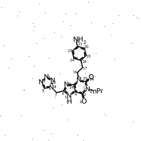 CCCn1c(=O)c2[nH]c(Cn3cnnn3)nc2n(CCc2ccc(N)cc2)c1=O